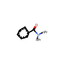 CCCN(CCC)C(=O)c1c[c]ccc1